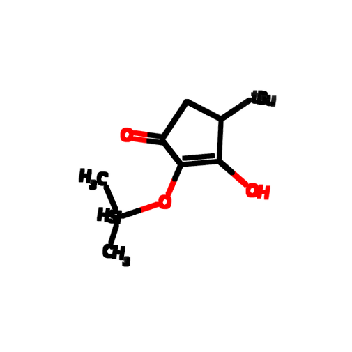 C[SiH](C)OC1=C(O)C(C(C)(C)C)CC1=O